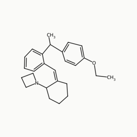 CCOc1ccc(C(C)c2ccccc2C=C2CCCCC2N2CCC2)cc1